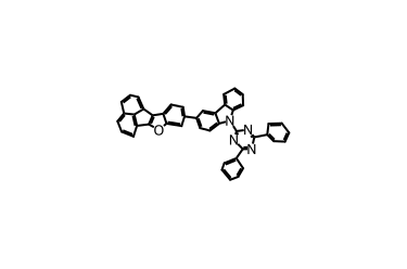 c1ccc(-c2nc(-c3ccccc3)nc(-n3c4ccccc4c4cc(-c5ccc6c7c(oc6c5)-c5cccc6cccc-7c56)ccc43)n2)cc1